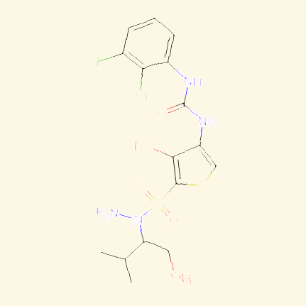 CC(C)C(CO)N(N)S(=O)(=O)c1scc(NC(=O)Nc2cccc(Cl)c2Cl)c1O